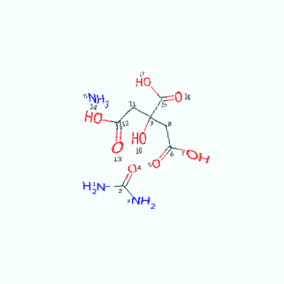 N.NC(N)=O.O=C(O)CC(O)(CC(=O)O)C(=O)O